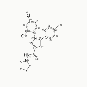 S=C(NN1CCCC1)C1=NN(c2ccc(Cl)cc2Cl)C(c2ccc(I)cc2)C1